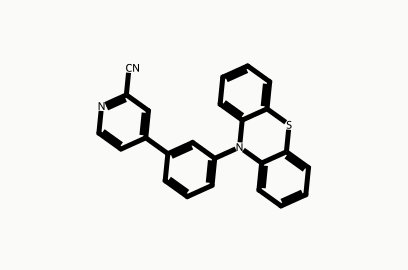 N#Cc1cc(-c2cccc(N3c4ccccc4Sc4ccccc43)c2)ccn1